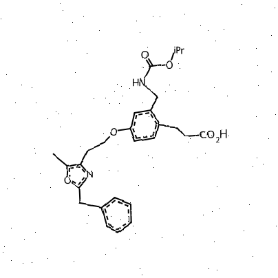 Cc1oc(Cc2ccccc2)nc1CCOc1ccc(CCC(=O)O)c(CNC(=O)OC(C)C)c1